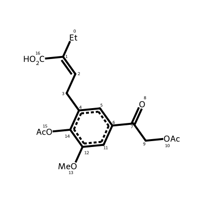 CCC(=CCc1cc(C(=O)COC(C)=O)cc(OC)c1OC(C)=O)C(=O)O